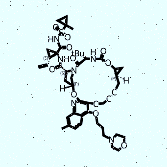 C=C[C@@H]1C[C@]1(NC(=O)[C@@H]1C[C@@H]2CN1C(=O)C(C(C)(C)C)NC(=O)OC1C[C@H]1CCCCCc1c(nc3cc(C)ccc3c1OCCCN1CCOCC1)O2)C(=O)NS(=O)(=O)C1(C)CC1